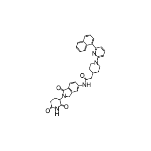 O=C1CCC(N2Cc3cc(NC(=O)CC4CCN(c5cccc(-c6cccc7ccccc67)n5)CC4)ccc3C2=O)C(=O)N1